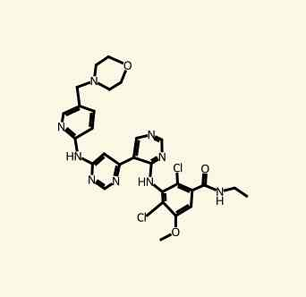 CCNC(=O)c1cc(OC)c(Cl)c(Nc2ncncc2-c2cc(Nc3ccc(CN4CCOCC4)cn3)ncn2)c1Cl